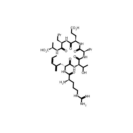 C=C(/C=C\C)C[C@@H](NC(=O)[C@H](N)CCCNC(=N)N)C(=O)N[C@@H](C(=O)N[C@@H](C(=O)N[C@H](CCC(=O)O)C(=O)N[C@H](CC(C)C)C(=O)N[C@H](C)C(=O)O)C(C)C)C(C)O